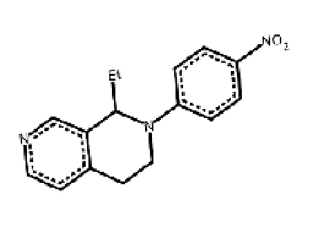 CCC1c2cnccc2CCN1c1ccc([N+](=O)[O-])cc1